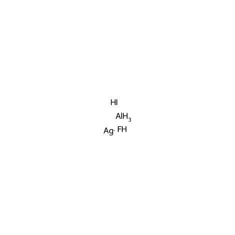 F.I.[Ag].[AlH3]